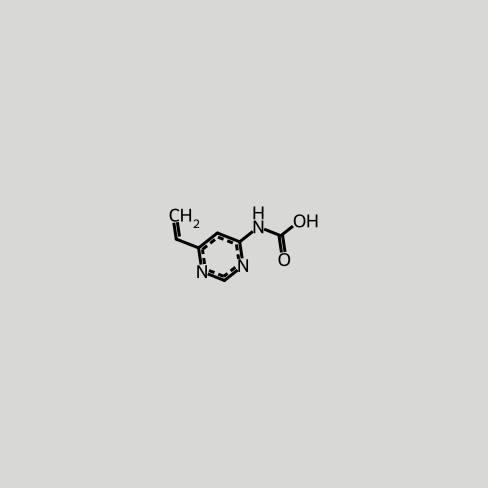 C=Cc1cc(NC(=O)O)ncn1